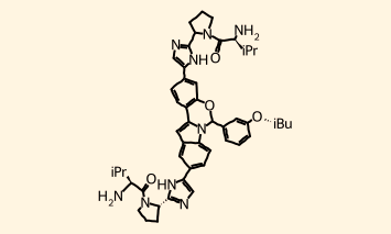 CC[C@@H](C)Oc1cccc(C2Oc3cc(-c4cnc(C5CCCN5C(=O)[C@@H](N)C(C)C)[nH]4)ccc3-c3cc4cc(-c5cnc([C@@H]6CCCN6C(=O)[C@@H](N)C(C)C)[nH]5)ccc4n32)c1